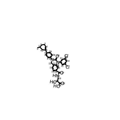 CC1CCC=C(c2ccc(N(Cc3ccc(C(=O)NCC(O)C(=O)O)cc3)C(=O)Nc3cc(Cl)cc(Cl)c3)cc2)C1